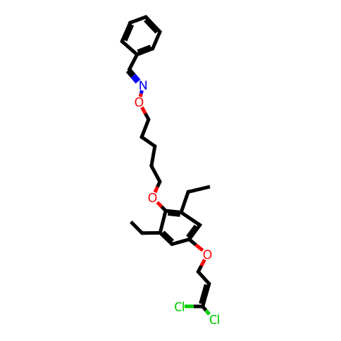 CCc1cc(OCC=C(Cl)Cl)cc(CC)c1OCCCCCON=Cc1ccccc1